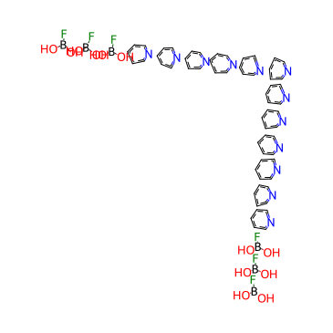 OB(O)F.OB(O)F.OB(O)F.OB(O)F.OB(O)F.OB(O)F.c1ccncc1.c1ccncc1.c1ccncc1.c1ccncc1.c1ccncc1.c1ccncc1.c1ccncc1.c1ccncc1.c1ccncc1.c1ccncc1.c1ccncc1.c1ccncc1